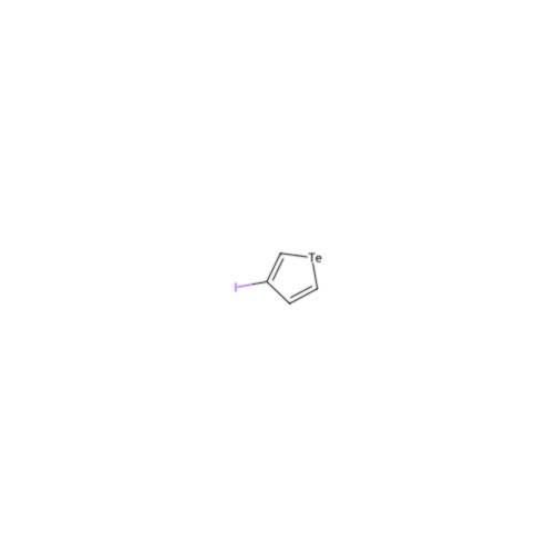 Ic1cc[te]c1